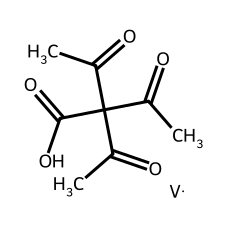 CC(=O)C(C(C)=O)(C(C)=O)C(=O)O.[V]